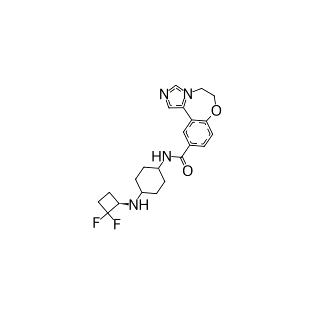 O=C(NC1CCC(N[C@@H]2CCC2(F)F)CC1)c1ccc2c(c1)-c1cncn1CCO2